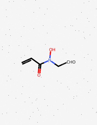 C=CC(=O)N(O)CC=O